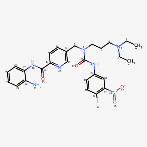 CCN(CC)CCCN(Cc1ccc(C(=O)Nc2ccccc2N)nc1)C(=O)Nc1ccc(F)c([N+](=O)[O-])c1